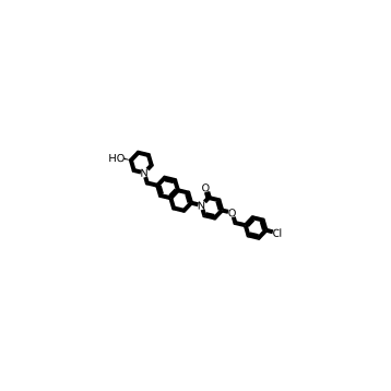 O=c1cc(OCc2ccc(Cl)cc2)ccn1C1=Cc2ccc(CN3CCC[C@@H](O)C3)cc2CC1